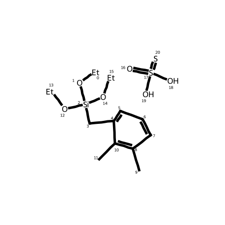 CCO[Si](Cc1cccc(C)c1C)(OCC)OCC.O=S(O)(O)=S